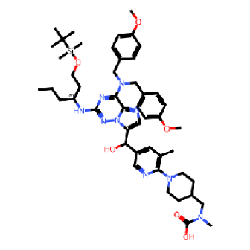 CCC[C@@H](CCO[Si](C)(C)C(C)(C)C)Nc1nc(N(Cc2ccc(OC)cc2)Cc2ccc(OC)cc2)c2ncc(C(O)c3cnc(N4CCC(CN(C)C(=O)O)CC4)c(C)c3)n2n1